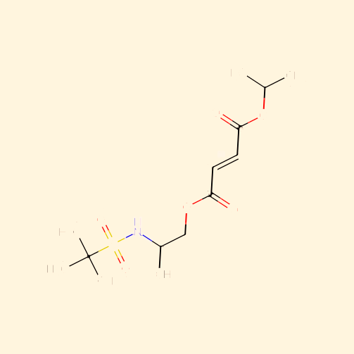 CC(COC(=O)/C=C/C(=O)OC(C)C)NS(=O)(=O)C(C)(C)C